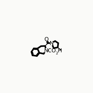 C[C@@H]1CCN(C(=O)[C@@H]2Cc3ccccc3CN2C(=O)O)C1